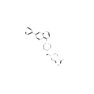 C[C@@H]1CN(c2ccnc3cc(-c4ccncc4)ccc23)CC[C@@H]1C(=O)N1CCn2c(nnc2C(F)(F)F)C1